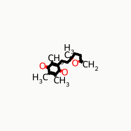 C=C1CCC(C)(CCC2=C(C)C(=O)C(C)=C(C)C2=O)O1